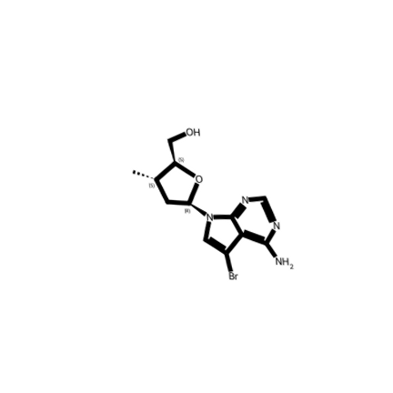 C[C@H]1C[C@H](n2cc(Br)c3c(N)ncnc32)O[C@@H]1CO